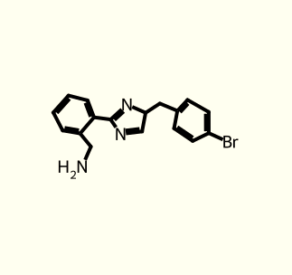 NCc1ccccc1C1=NC(Cc2ccc(Br)cc2)C=N1